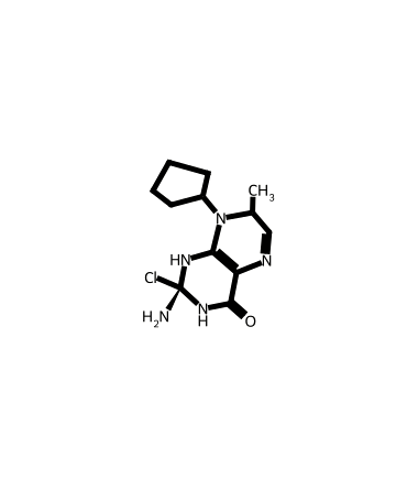 CC1C=NC2=C(N[C@@](N)(Cl)NC2=O)N1C1CCCC1